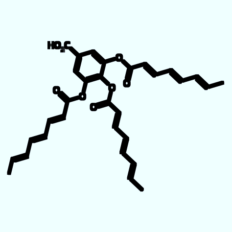 CC=CC=CC=CC(=O)Oc1cc(C(=O)O)cc(OC(=O)C=CC=CC=CC)c1OC(=O)C=CC=CC=CC